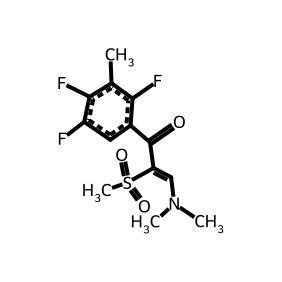 Cc1c(F)c(F)cc(C(=O)C(=CN(C)C)S(C)(=O)=O)c1F